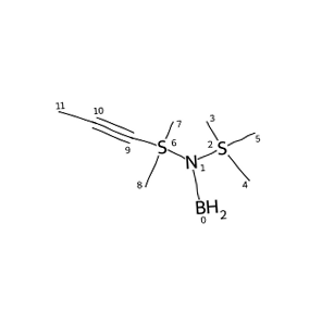 BN(S(C)(C)C)S(C)(C)C#CC